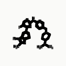 Cc1nc2ccc(-c3nc(Nc4ccc(CN5CCC(N(C)C)CC5)cn4)ncc3F)cc2n1C(C)C